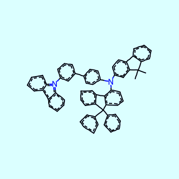 CC1(C)c2ccccc2-c2ccc(N(c3ccc(-c4cccc(-n5c6ccccc6c6ccccc65)c4)cc3)c3cccc4c3-c3ccccc3C4(c3ccccc3)c3ccccc3)cc21